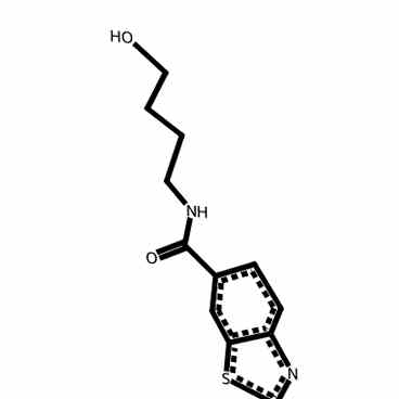 O=C(NCCCCO)c1ccc2ncsc2c1